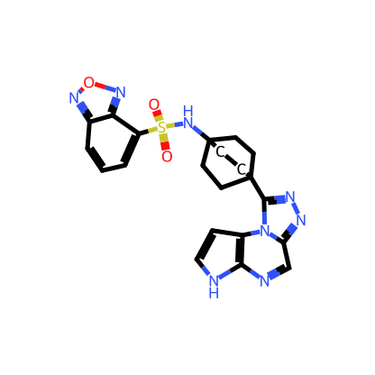 O=S(=O)(NC12CCC(c3nnc4cnc5[nH]ccc5n34)(CC1)CC2)c1cccc2nonc12